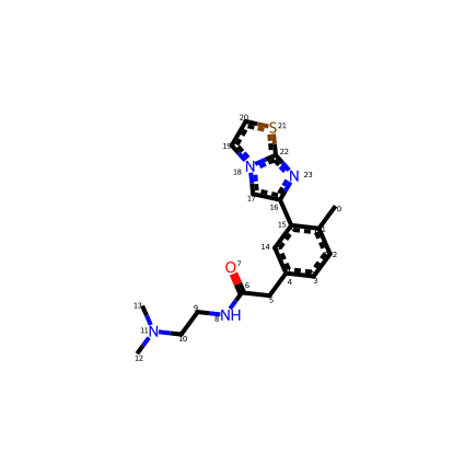 Cc1ccc(CC(=O)NCCN(C)C)cc1-c1cn2ccsc2n1